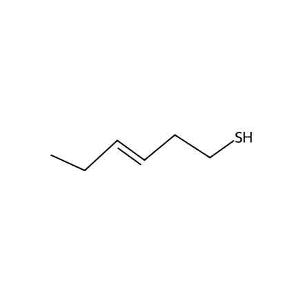 CC/C=C/CCS